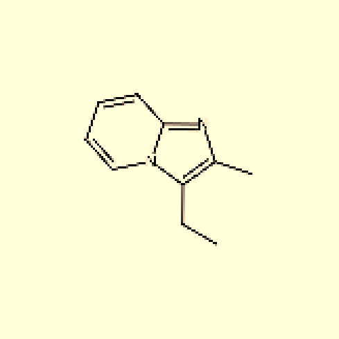 CCc1c(C)nc2ccccn12